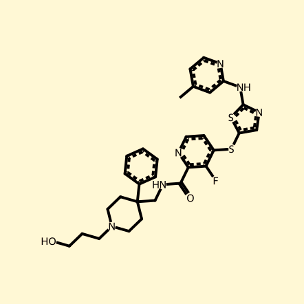 Cc1ccnc(Nc2ncc(Sc3ccnc(C(=O)NCC4(c5ccccc5)CCN(CCCO)CC4)c3F)s2)c1